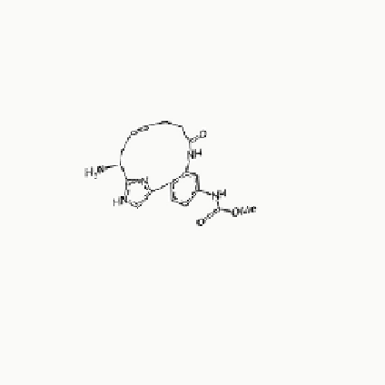 COC(=O)Nc1ccc2c(c1)NC(=O)CC/C=C\C[C@H](N)c1nc-2c[nH]1